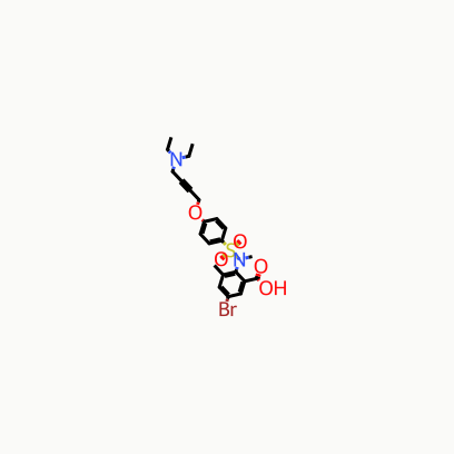 CCN(CC)CC#CCOc1ccc(S(=O)(=O)N(C)c2c(C)cc(Br)cc2C(=O)O)cc1